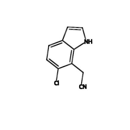 N#CCc1c(Cl)ccc2cc[nH]c12